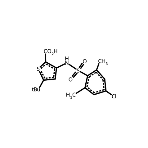 Cc1cc(Cl)cc(C)c1S(=O)(=O)Nc1cc(C(C)(C)C)sc1C(=O)O